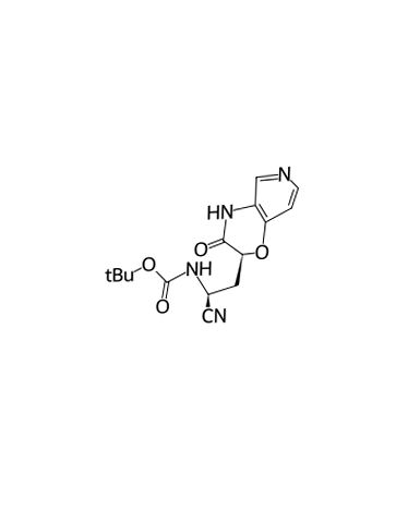 CC(C)(C)OC(=O)N[C@H](C#N)C[C@@H]1Oc2ccncc2NC1=O